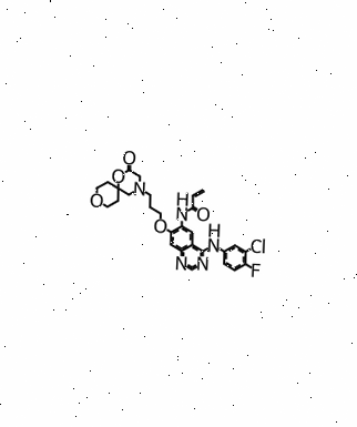 C=CC(=O)Nc1cc2c(Nc3ccc(F)c(Cl)c3)ncnc2cc1OCCCN1CC(=O)OC2(CCOCC2)C1